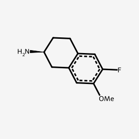 COc1cc2c(cc1F)CC[C@H](N)C2